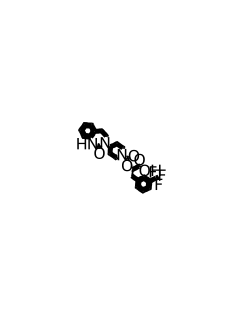 O=C(O)[C@@H](Cc1cccc(C(F)(F)F)c1)OC(=O)N1CCC(N2CCc3ccccc3NC2=O)CC1